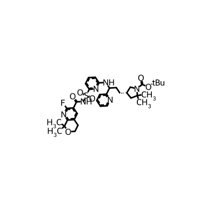 CC(C)(C)OC(=O)N1C[C@@H](CCC(Nc2cccc(S(=O)(=O)NC(=O)c3cc4c(nc3F)C(C)(C)OCC4)n2)c2ccccn2)CC1(C)C